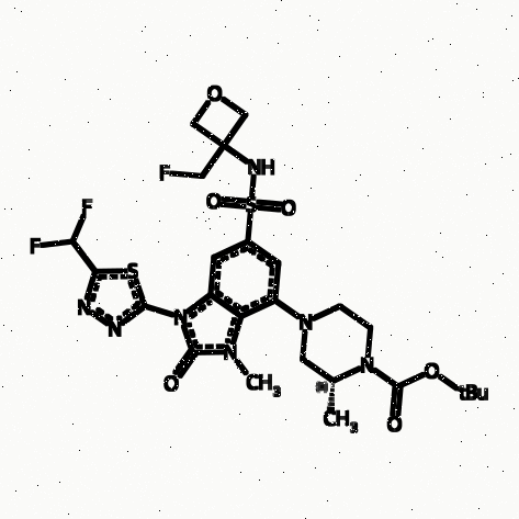 C[C@@H]1CN(c2cc(S(=O)(=O)NC3(CF)COC3)cc3c2n(C)c(=O)n3-c2nnc(C(F)F)s2)CCN1C(=O)OC(C)(C)C